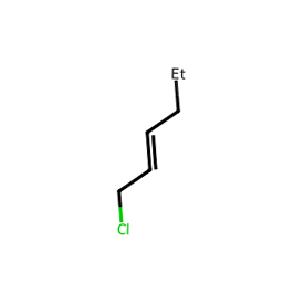 CCCC=CCCl